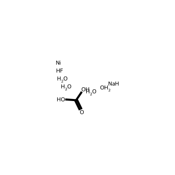 F.O.O.O.O.O=C(O)O.[NaH].[Ni]